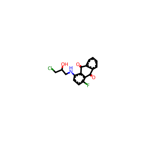 O=C1c2ccccc2C(=O)c2c(NCC(O)CCl)ccc(F)c21